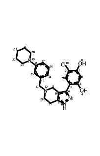 Oc1cc(O)c(-c2n[nH]c3c2CN(Cc2cccc(N4CCCCC4)c2)CC3)cc1Cl